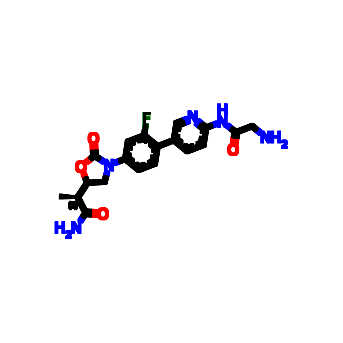 C[C@H](C(N)=O)C1CN(c2ccc(-c3ccc(NC(=O)CN)nc3)c(F)c2)C(=O)O1